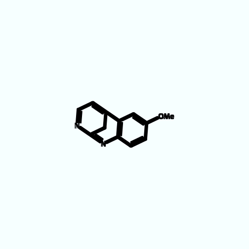 COc1ccc2c(c1)C1=CC=NC(=N2)C1